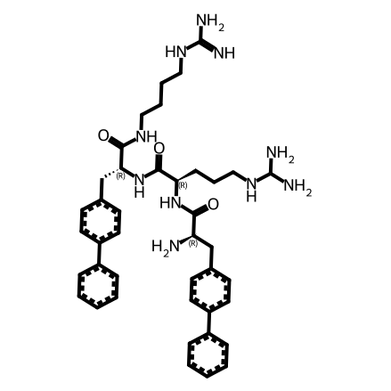 N=C(N)NCCCCNC(=O)[C@@H](Cc1ccc(-c2ccccc2)cc1)NC(=O)[C@@H](CCCNC(N)N)NC(=O)[C@H](N)Cc1ccc(-c2ccccc2)cc1